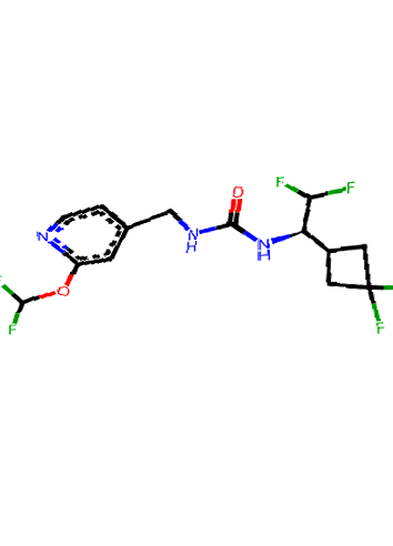 O=C(NCc1ccnc(OC(F)F)c1)N[C@@H](C(F)F)C1CC(F)(F)C1